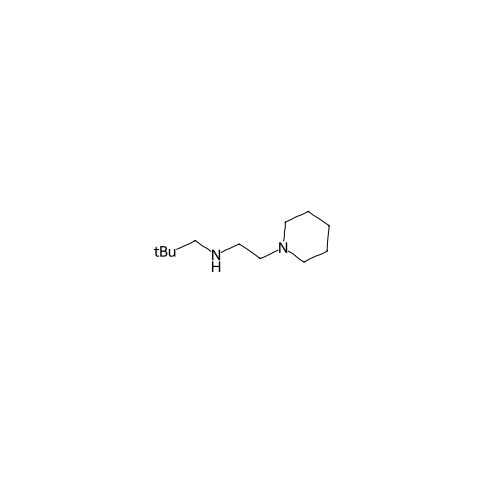 CC(C)(C)CNCCN1CCCCC1